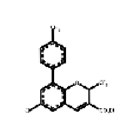 CCOC(=O)C1=Cc2cc(Cl)cc(-c3ccc(C)cc3)c2OC1C(F)(F)F